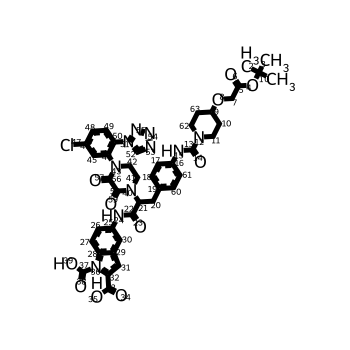 CC(C)(C)OC(=O)COC1CCN(C(=O)Nc2ccc(CC(C(=O)Nc3ccc4c(c3)cc(C(=O)O)n4C(=O)O)N3CCN(c4cc(Cl)ccc4-n4cnnn4)C(=O)C3=O)cc2)CC1